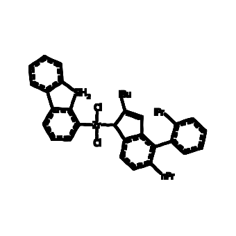 CCCc1ccc2c(c1-c1ccccc1C(C)C)C=C(C(C)CC)[CH]2[Zr]([Cl])([Cl])[c]1cccc2c1[SiH2]c1ccccc1-2